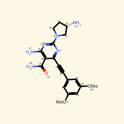 COc1cc(C#Cc2nc(N3CC[C@H](N)C3)nc(N)c2C(N)=O)cc(OC)c1